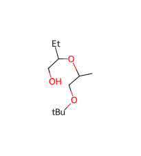 CCC(CO)OC(C)COC(C)(C)C